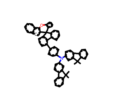 CC1(C)c2ccccc2-c2ccc(N(c3ccc(-c4cccc5c4-c4ccccc4C54c5ccccc5Oc5c4ccc4ccccc54)cc3)c3ccc4c(c3)C(C)(C)c3ccccc3-4)cc21